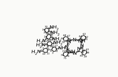 Nc1ccc(-c2ccc(N)cc2)cc1.Nc1ccc(N)cc1.Nc1cccc(N)c1.Nc1ccccc1N.c1ccc2c(c1)-c1nc-2nc2[nH]c(nc3nc(nc4[nH]c(n1)c1ccccc41)-c1ccccc1-3)c1ccccc21